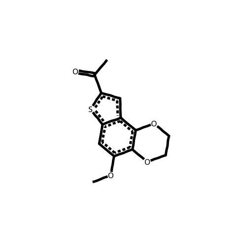 COc1cc2sc(C(C)=O)cc2c2c1OCCO2